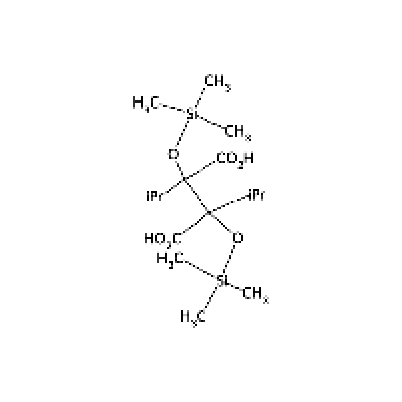 CC(C)C(O[Si](C)(C)C)(C(=O)O)C(O[Si](C)(C)C)(C(=O)O)C(C)C